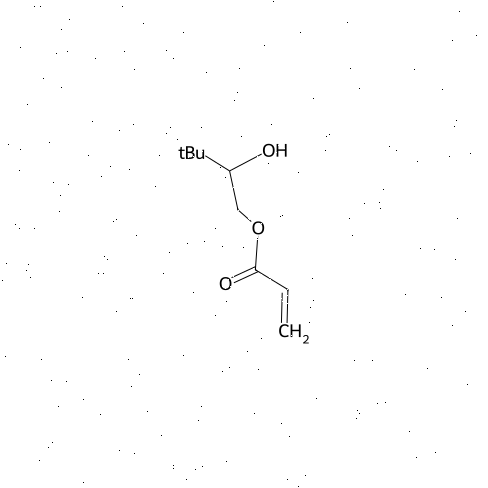 C=CC(=O)OCC(O)C(C)(C)C